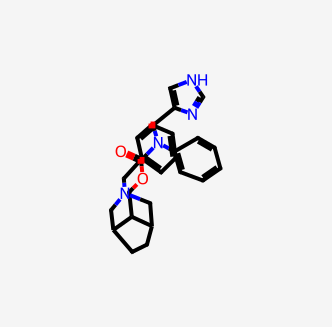 O=C(OCC1C2CCC1CN(Cc1ccccc1)C2)N(Cc1c[nH]cn1)c1ccccc1